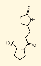 O=C1CCC(CCC(=O)N2CCC[C@H]2C(=O)O)N1